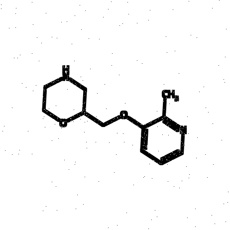 Cc1ncccc1OCC1CNCCO1